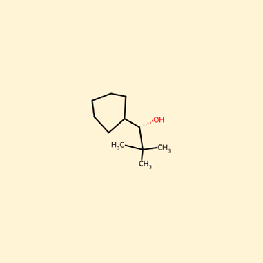 CC(C)(C)[C@@H](O)C1CCCCC1